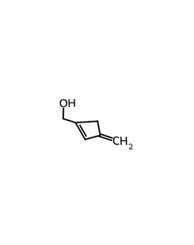 C=C1C=C(CO)C1